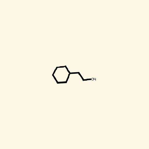 O[CH]CC1CCCCC1